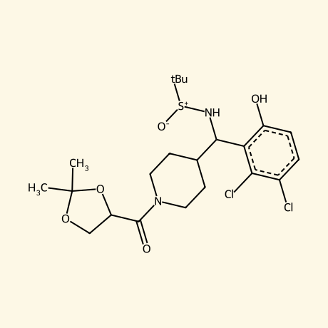 CC1(C)OCC(C(=O)N2CCC(C(N[S+]([O-])C(C)(C)C)c3c(O)ccc(Cl)c3Cl)CC2)O1